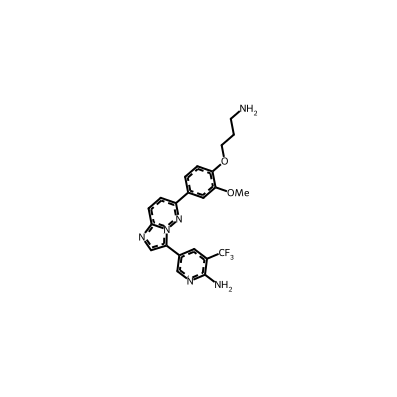 COc1cc(-c2ccc3ncc(-c4cnc(N)c(C(F)(F)F)c4)n3n2)ccc1OCCCN